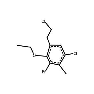 CCOc1c(CCCl)cc(Cl)c(C)c1Br